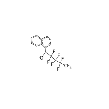 [O]C(c1cccc2ccccc12)C(F)(F)C(F)(F)C(F)(F)C(F)(F)F